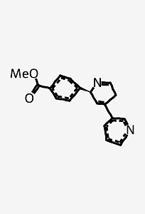 COC(=O)c1ccc([C@@H]2C=C(c3cccnc3)CC=N2)cc1